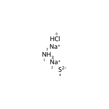 Cl.N.[Na+].[Na+].[S-2]